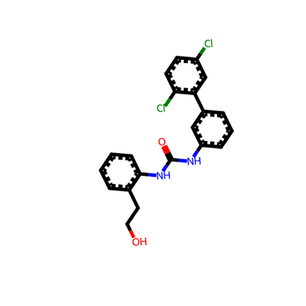 O=C(Nc1cccc(-c2cc(Cl)ccc2Cl)c1)Nc1ccccc1CCO